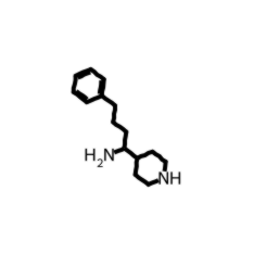 NC(CCCc1ccccc1)C1CCNCC1